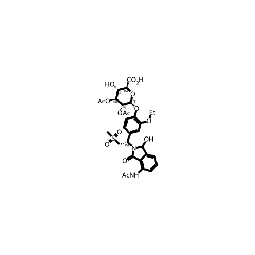 CCOc1cc([C@@H](CS(C)(=O)=O)N2C(=O)c3c(NC(C)=O)cccc3C2O)ccc1O[C@@H]1O[C@H](C(=O)O)[C@@H](O)[C@H](OC(C)=O)[C@H]1OC(C)=O